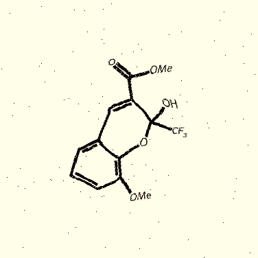 COC(=O)C1=Cc2cccc(OC)c2OC1(O)C(F)(F)F